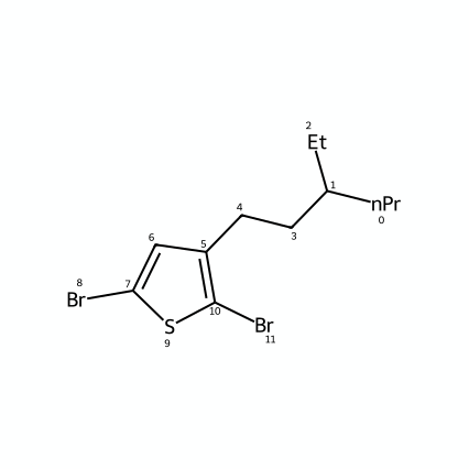 CCCC(CC)CCc1cc(Br)sc1Br